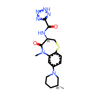 C[C@@H]1CCCN(c2ccc3c(c2)N(C)C(=O)[C@@H](NC(=O)c2nn[nH]n2)CS3)C1